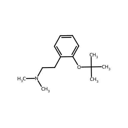 CN(C)CCc1ccccc1OC(C)(C)C